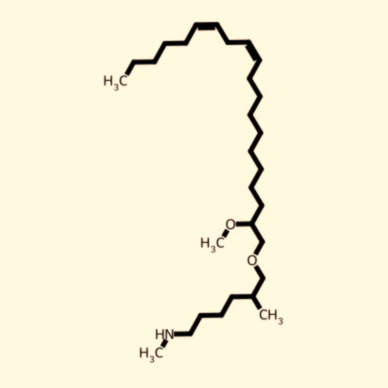 CCCCC/C=C\C/C=C\CCCCCCCCC(COCC(C)CCCCNC)OC